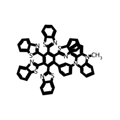 CN1c2ccccc2N(c2cccc(-c3c(-c4nc5ccccc5s4)c(-c4nc5ccccc5s4)c(-c4nc5ccccc5s4)c(-c4nc5ccccc5s4)c3-c3nc4ccccc4s3)c2)c2ccccc21